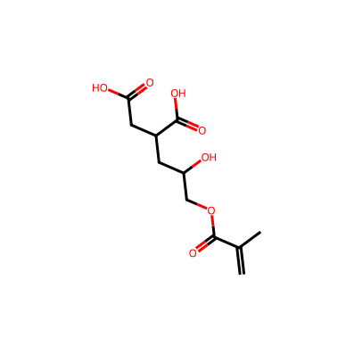 C=C(C)C(=O)OCC(O)CC(CC(=O)O)C(=O)O